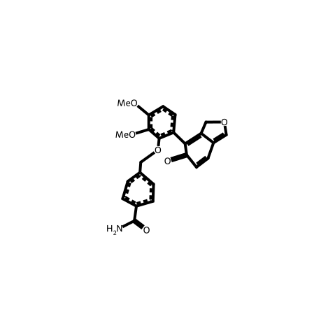 COc1ccc(C2=C3COC=C3C=CC2=O)c(OCc2ccc(C(N)=O)cc2)c1OC